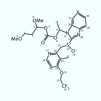 COCCC(OC)OC(=O)OC(C)n1c([S+]([O-])Cc2nccc(OCC(F)(F)F)c2C)nc2ccccc21